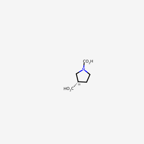 O=C(O)[C@H]1CCN(C(=O)O)C1